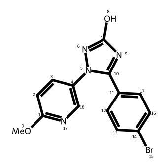 COc1ccc(-n2nc(O)nc2-c2ccc(Br)cc2)cn1